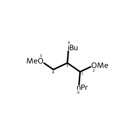 CCCC(OC)C(COC)C(C)CC